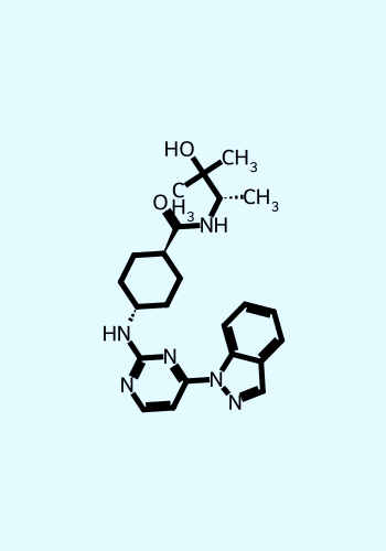 C[C@H](NC(=O)[C@H]1CC[C@H](Nc2nccc(-n3ncc4ccccc43)n2)CC1)C(C)(C)O